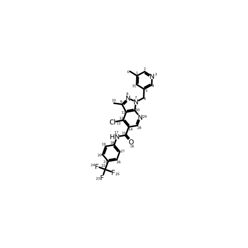 Cc1cncc(Cn2nc(C)c3c(Cl)c(C(=O)Nc4ccc(C(F)(F)F)cc4)cnc32)c1